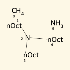 C.CCCCCCCCN(CCCCCCCC)CCCCCCCC.N